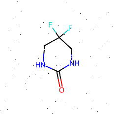 O=C1NCC(F)(F)CN1